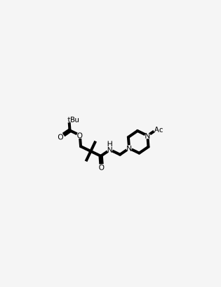 CC(=O)N1CCN(CNC(=O)C(C)(C)COC(=O)C(C)(C)C)CC1